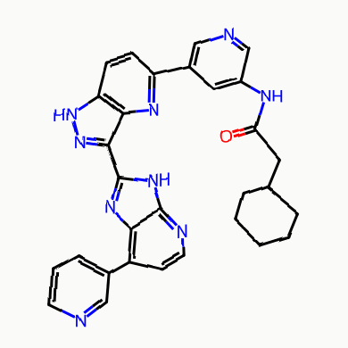 O=C(CC1CCCCC1)Nc1cncc(-c2ccc3[nH]nc(-c4nc5c(-c6cccnc6)ccnc5[nH]4)c3n2)c1